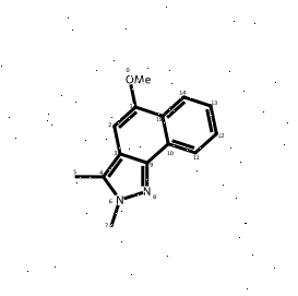 COc1cc2c(C)n(C)nc2c2ccccc12